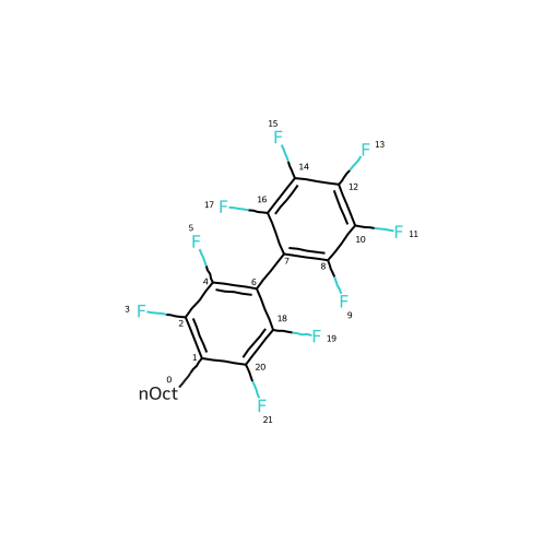 CCCCCCCCc1c(F)c(F)c(-c2c(F)c(F)c(F)c(F)c2F)c(F)c1F